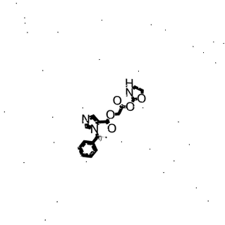 C[C@H](c1ccccc1)n1cncc1C(=O)OCC(=O)OC1NCCO1